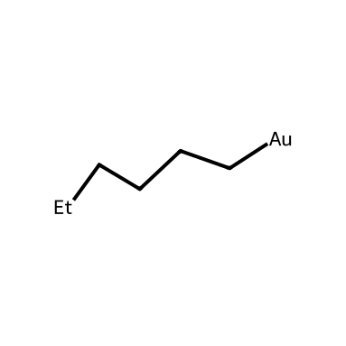 CCCCC[CH2][Au]